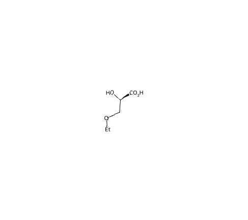 CCOC[C@@H](O)C(=O)O